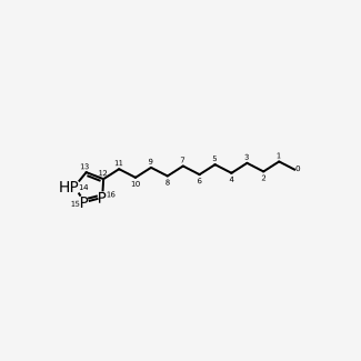 CCCCCCCCCCCCc1c[pH]pp1